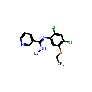 CCN/C(=N\c1cc(SCC(F)(F)F)c(Cl)cc1Cl)c1cccnc1